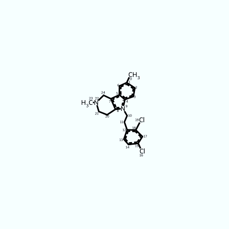 Cc1ccc2c(c1)c1c(n2CCc2ccc(Cl)cc2Cl)CCN(C)C1